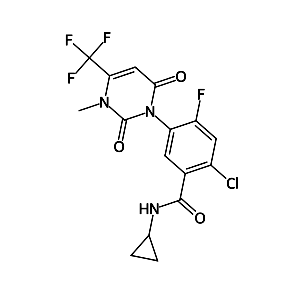 Cn1c(C(F)(F)F)cc(=O)n(-c2cc(C(=O)NC3CC3)c(Cl)cc2F)c1=O